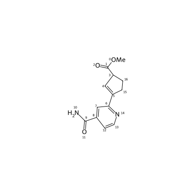 COC(=O)C1C=C(c2cc(C(N)=O)ccn2)CC1